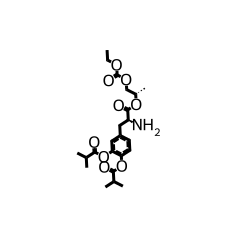 CCOC(=O)OC[C@H](C)OC(=O)[C@@H](N)Cc1ccc(OC(=O)C(C)C)c(OC(=O)C(C)C)c1